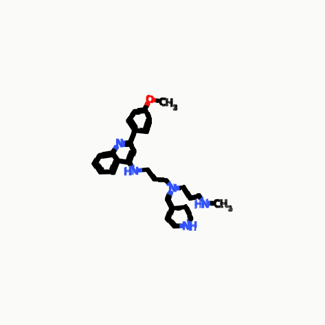 CNCCCN(CCCNc1cc(-c2ccc(OC)cc2)nc2ccccc12)CC1CCNCC1